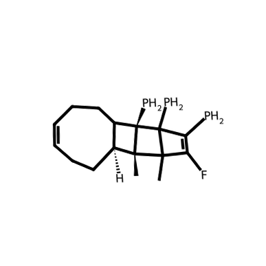 CC12C(F)=C(P)C1(P)[C@@]1(P)C3CC/C=C\CC[C@@H]3[C@@]21C